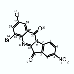 O=C1c2cc([N+](=O)[O-])ccc2-n2c1nc1c(Br)cc(Cl)cc1c2=O